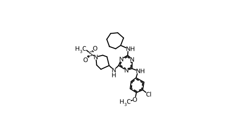 COc1ccc(Nc2nc(NC3CCCCCC3)nc(NC3CCN(S(C)(=O)=O)CC3)n2)cc1Cl